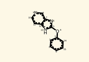 c1ccc(Oc2nc3cnccc3[nH]2)cc1